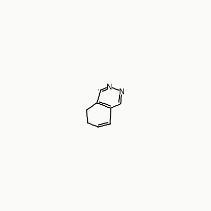 [c]1nncc2c1CCC=C2